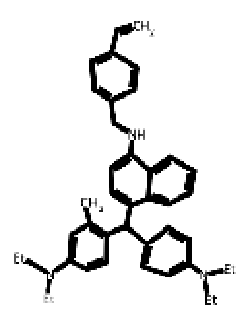 C=Cc1ccc(CNc2ccc(C(c3ccc(N(CC)CC)cc3)c3ccc(N(CC)CC)cc3C)c3ccccc23)cc1